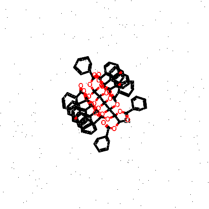 CCC(OC(=O)c1ccccc1)C(OC(=O)c1ccccc1)(OC(=O)c1ccccc1)C(OC(=O)c1ccccc1)(OC(=O)c1ccccc1)C(OC(=O)c1ccccc1)(OC(=O)c1ccccc1)C(OC(=O)c1ccccc1)(OC(=O)c1ccccc1)C(OC(=O)c1ccccc1)(OC(=O)c1ccccc1)OC(=O)c1ccccc1